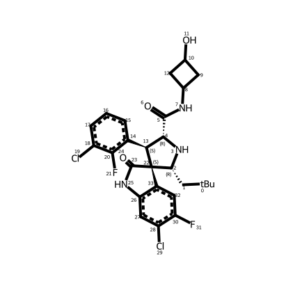 CC(C)(C)C[C@H]1N[C@@H](C(=O)NC2CC(O)C2)[C@H](c2cccc(Cl)c2F)[C@@]12C(=O)Nc1cc(Cl)c(F)cc12